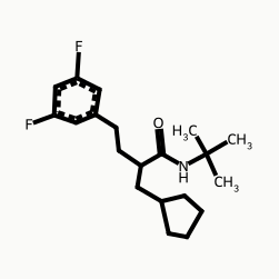 CC(C)(C)NC(=O)C(CCc1cc(F)cc(F)c1)CC1CCCC1